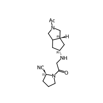 CC(=O)N1CC2C[C@@H](NCC(=O)N3CCC[C@H]3C#N)C[C@H]2C1